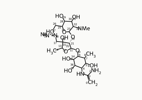 C=C(N)NC1C(O)C(C)C(OC2OC(C)C(O)(CN=[N+]=[N-])[C@@H]2OC2OC(CO)C(O)C(O)C2NC)C(O)C1O